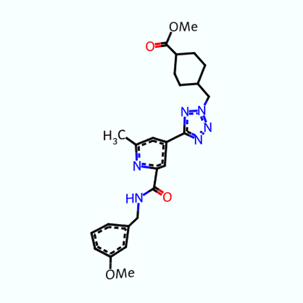 COC(=O)C1CCC(Cn2nnc(-c3cc(C)nc(C(=O)NCc4cccc(OC)c4)c3)n2)CC1